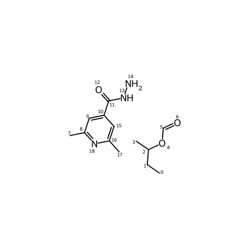 CCC(C)OC=O.Cc1cc(C(=O)NN)cc(C)n1